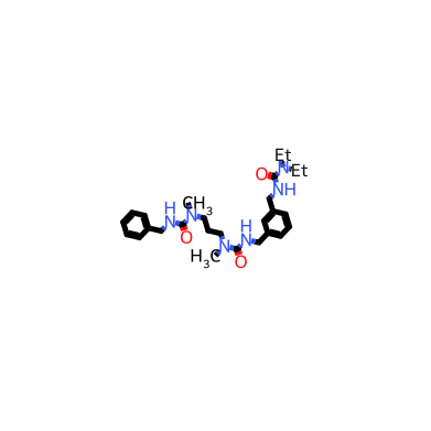 CCN(CC)C(=O)NCc1cccc(CNC(=O)N(C)CCCN(C)C(=O)NCc2ccccc2)c1